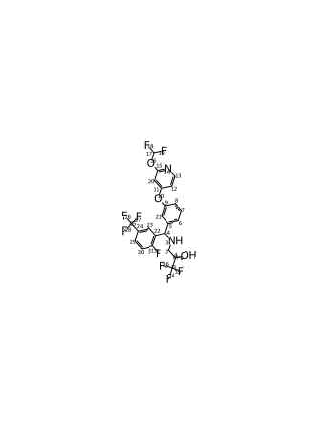 O[C@H](CNC(c1cccc(Oc2ccnc(OC(F)F)c2)c1)c1cc(C(F)(F)F)ccc1F)C(F)(F)F